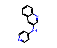 c1ccc2ncc(Nc3ccncc3)cc2c1